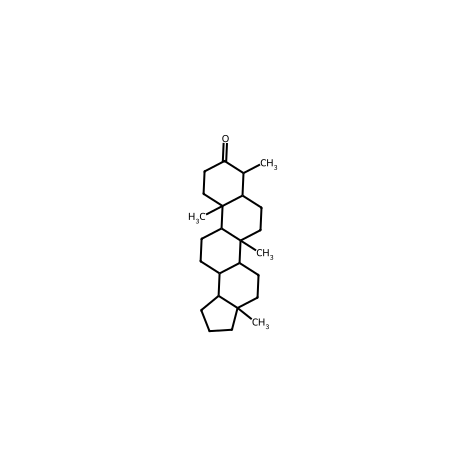 CC1C(=O)CCC2(C)C1CCC1(C)C3CCC4(C)CCCC4C3CCC21